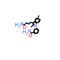 Cc1ccc2c(c1)c(CCCC(N)=O)c(C)n2C.NC(=O)c1ccccc1